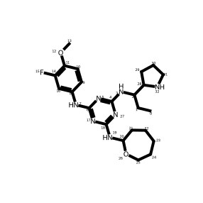 CCC(Nc1nc(Nc2ccc(OC)c(F)c2)nc(NC2CCCCCO2)n1)C1CCCN1